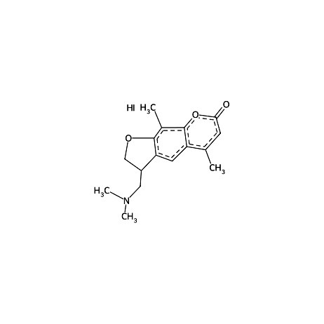 Cc1cc(=O)oc2c(C)c3c(cc12)C(CN(C)C)CO3.I